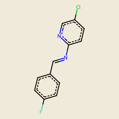 Fc1ccc(/C=N/c2ccc(Cl)cn2)cc1